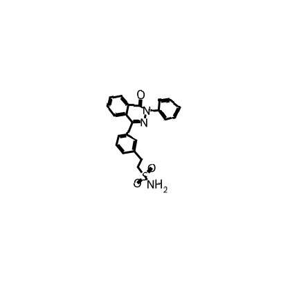 NS(=O)(=O)CCc1cccc(-c2nn(-c3ccccc3)c(=O)c3ccccc23)c1